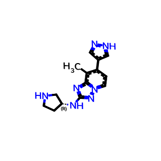 Cc1c(-c2cn[nH]c2)ccn2nc(N[C@@H]3CCNC3)nc12